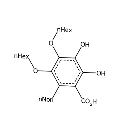 CCCCCCCCCc1c(OCCCCCC)c(OCCCCCC)c(O)c(O)c1C(=O)O